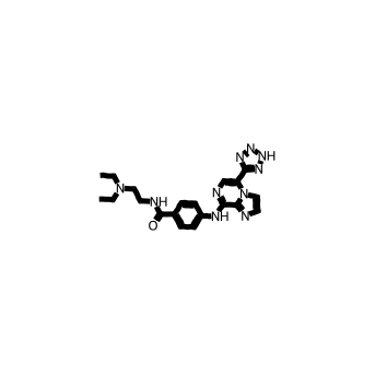 CCN(CC)CCNC(=O)c1ccc(Nc2ncc(-c3nn[nH]n3)n3ccnc23)cc1